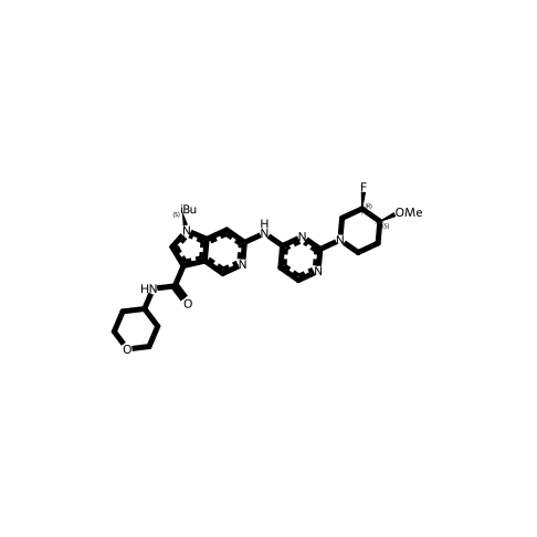 CC[C@H](C)n1cc(C(=O)NC2CCOCC2)c2cnc(Nc3ccnc(N4CC[C@H](OC)[C@H](F)C4)n3)cc21